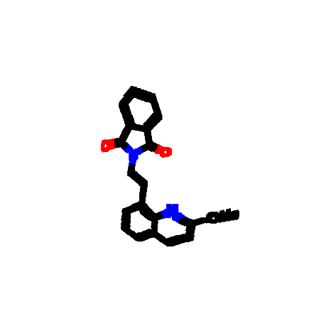 COc1ccc2cccc(CCN3C(=O)c4ccccc4C3=O)c2n1